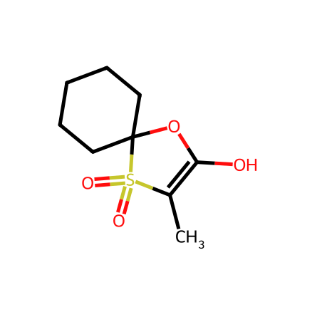 CC1=C(O)OC2(CCCCC2)S1(=O)=O